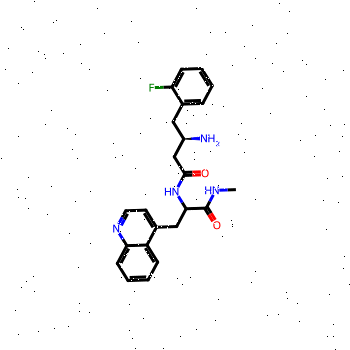 CNC(=O)C(Cc1ccnc2ccccc12)NC(=O)C[C@H](N)Cc1ccccc1F